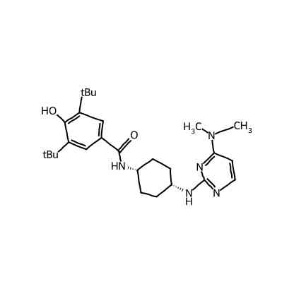 CN(C)c1ccnc(N[C@H]2CC[C@@H](NC(=O)c3cc(C(C)(C)C)c(O)c(C(C)(C)C)c3)CC2)n1